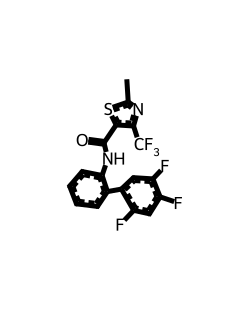 Cc1nc(C(F)(F)F)c(C(=O)Nc2ccccc2-c2cc(F)c(F)cc2F)s1